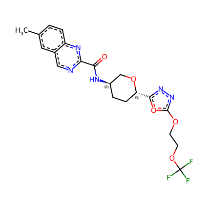 Cc1ccc2nc(C(=O)N[C@@H]3CC[C@@H](c4nnc(OCCOC(F)(F)F)o4)OC3)ncc2c1